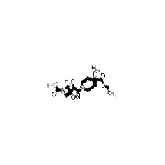 CCOC(=O)C1(C)CCN(C2=NOC3(CN(C(=O)O)C3)C2C)CC1